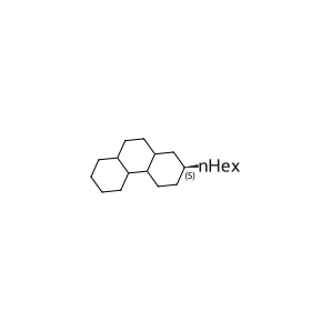 CCCCCC[C@H]1CCC2C(CCC3CCCCC32)C1